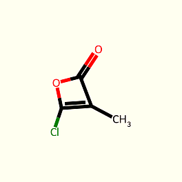 CC1=C(Cl)OC1=O